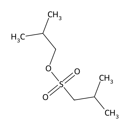 CC(C)COS(=O)(=O)CC(C)C